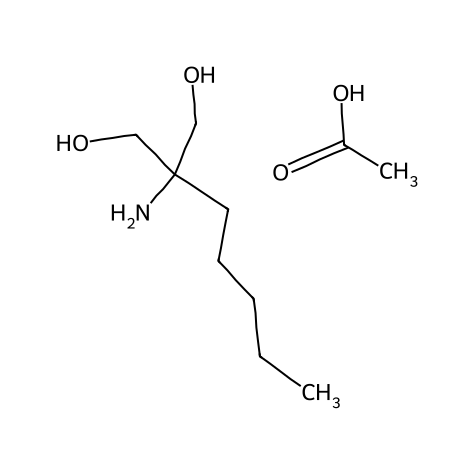 CC(=O)O.CCCCCC(N)(CO)CO